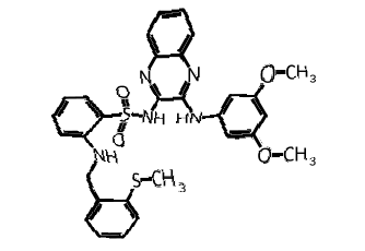 COc1cc(Nc2nc3ccccc3nc2NS(=O)(=O)c2ccccc2NCc2ccccc2SC)cc(OC)c1